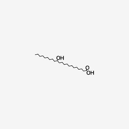 CCCCCCCCCC(O)CCCCCCCCCCCC(=O)O